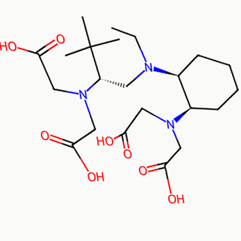 CCN(C[C@H](N(CC(=O)O)CC(=O)O)C(C)(C)C)[C@H]1CCCC[C@H]1N(CC(=O)O)CC(=O)O